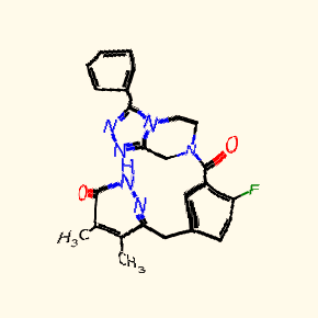 Cc1c(Cc2ccc(F)c(C(=O)N3CCn4c(nnc4-c4ccccc4)C3)c2)n[nH]c(=O)c1C